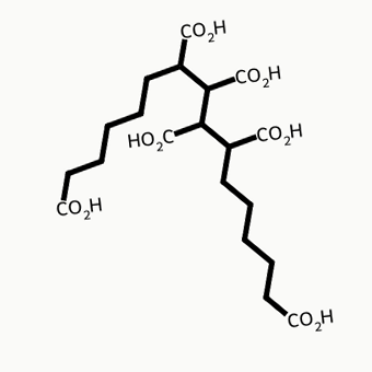 O=C(O)CCCCCC(C(=O)O)C(C(=O)O)C(C(=O)O)C(CCCCCC(=O)O)C(=O)O